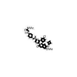 CNC(=O)CN[C@H]1CC[C@H](CN(C)c2cnc(N3C(=O)Cc4cc(OC)c(OC5CCC5)cc4[C@@H]3c3ccc(Cl)cc3)cn2)CC1